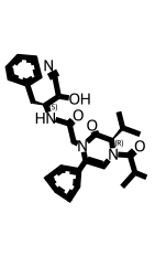 CC(C)C(=O)N1C=C(c2ccccc2)N(CC(=O)N[C@@H](Cc2ccccc2)C(O)C#N)C(=O)[C@H]1C(C)C